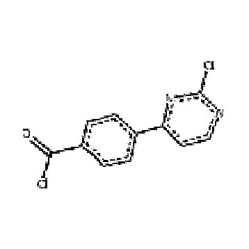 O=C(Cl)c1ccc(-c2ccnc(Cl)n2)cc1